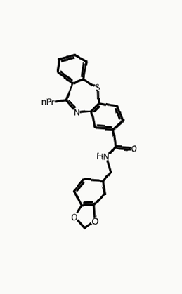 CCCC1=Nc2cc(C(=O)NCC3C=CC4=C(C3)OCO4)ccc2Sc2ccccc21